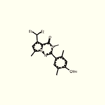 CCC(CC)c1cc(C)n2nc(-c3cc(C)c(OC)cc3C)n(C)c(=O)c12